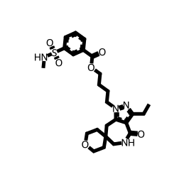 CCc1nn(CCCCOC(=O)c2cccc(S(=O)(=O)NC)c2)c2c1C(=O)NCC1(CCOCC1)C2